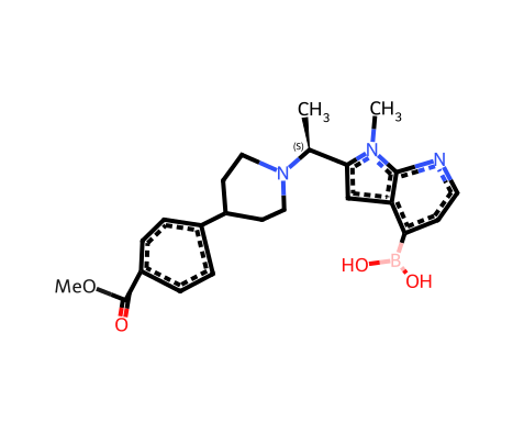 COC(=O)c1ccc(C2CCN([C@@H](C)c3cc4c(B(O)O)ccnc4n3C)CC2)cc1